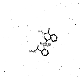 CCCOC(=O)c1ccccc1C(=O)OC.CCOC(=O)c1ccccc1C(=O)OC